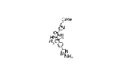 COCCn1cc(C(=O)NC(=N)[C@@](C)(c2ccc(-c3cnc(N)nc3)cc2)C2CC2)cn1